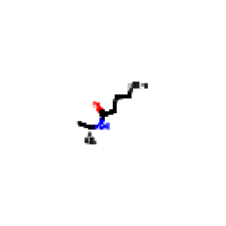 CCCCCCCCCC(=O)N[C@@H](C)C#N